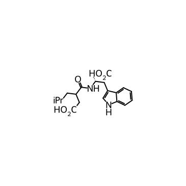 CC(C)CC(CC(=O)O)C(=O)N[C@@H](Cc1c[nH]c2ccccc12)C(=O)O